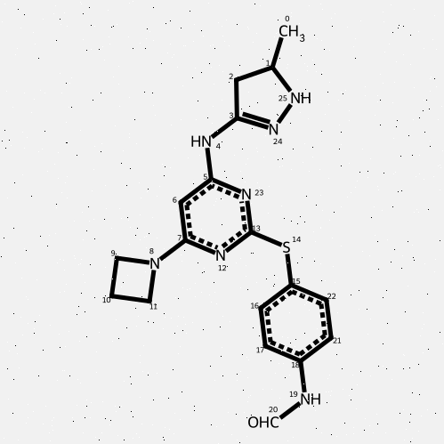 CC1CC(Nc2cc(N3CCC3)nc(Sc3ccc(NC=O)cc3)n2)=NN1